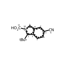 CC(C)(C)c1c2ccc(C#N)cc2cn1C(=O)O